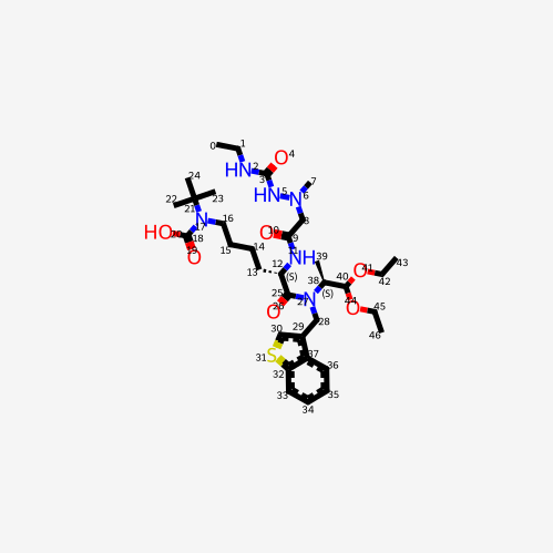 CCNC(=O)NN(C)CC(=O)N[C@@H](CCCCN(C(=O)O)C(C)(C)C)C(=O)N(Cc1csc2ccccc12)[C@@H](C)C(OCC)OCC